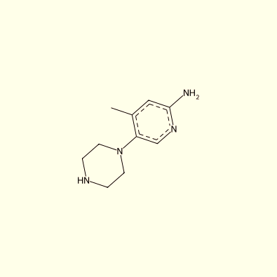 Cc1cc(N)ncc1N1CCNCC1